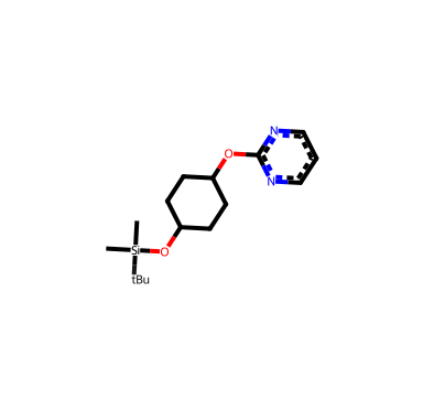 CC(C)(C)[Si](C)(C)OC1CCC(Oc2ncccn2)CC1